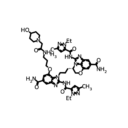 CCn1nc(C)cc1C(=O)Nc1nc2cc(C(N)=O)cc(OCCCNC(=O)CN3CCC(O)CC3)c2n1CCC[C@H]1COc2cc(C(N)=O)cc3nc(NC(=O)c4cc(C)nn4CC)n1c23